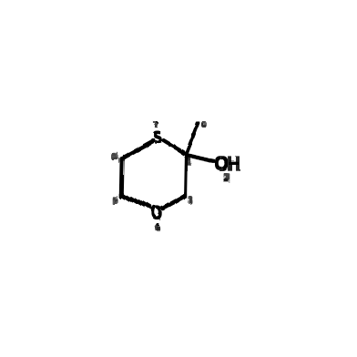 CC1(O)COCCS1